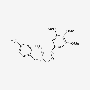 COc1cc([C@H]2OC[C@H](Cc3ccc(C)cc3)[C@@H]2C)cc(OC)c1OC